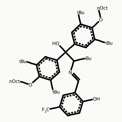 CCCCCCCCOc1c(C(C)(C)C)cc(C(O)(c2cc(C(C)(C)C)c(OCCCCCCCC)c(C(C)(C)C)c2)C(N=Cc2cc(C(F)(F)F)ccc2O)C(C)CC)cc1C(C)(C)C